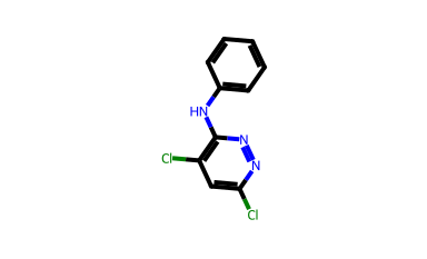 Clc1cc(Cl)c(Nc2ccccc2)nn1